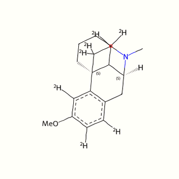 [2H]c1c([2H])c(OC)c([2H])c2c1C[C@H]1C3CCCC[C@@]23C([2H])([2H])C([2H])([2H])N1C